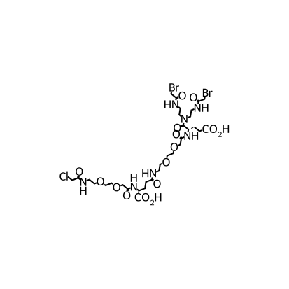 O=C(O)CC[C@H](NC(=O)COCCOCCNC(=O)CC[C@H](NC(=O)COCCOCCNC(=O)CCl)C(=O)O)C(=O)N(CCNC(=O)CBr)CCNC(=O)CBr